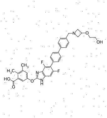 Cc1cc(Oc2nc3c(F)c(-c4ccc(-c5ccc(CN6CC(OCCO)C6)cc5)cc4)c(F)cc3[nH]2)cc(C(=O)O)c1C